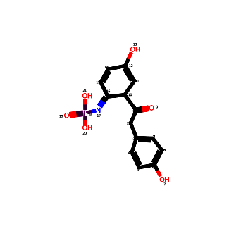 O=C(Cc1ccc(O)cc1)C1C=C(O)C=CC1=NP(=O)(O)O